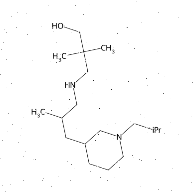 CC(C)CN1CCCC(CC(C)CNCC(C)(C)CO)C1